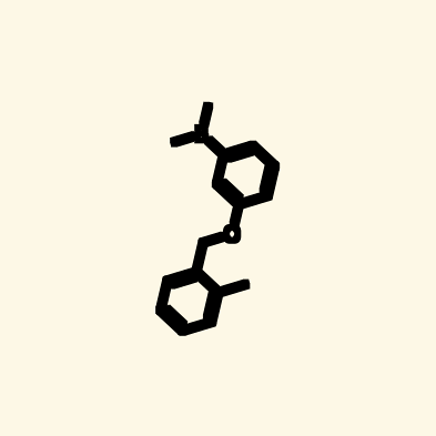 CB(C)c1cccc(OCc2ccccc2C)c1